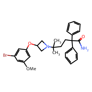 COc1cc(Br)cc(OC2CN(C(C)(C)CCC(C(N)=O)(c3ccccc3)c3ccccc3)C2)c1